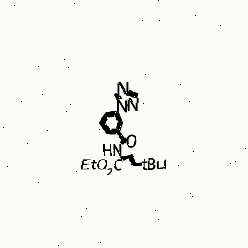 CCOC(=O)C(/C=C/C(C)(C)C)NC(=O)c1cccc(-n2cncn2)c1